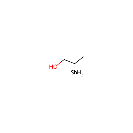 CCCO.[SbH3]